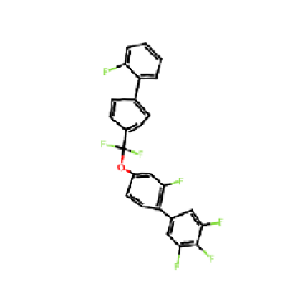 Fc1ccccc1-c1ccc(C(F)(F)Oc2ccc(-c3cc(F)c(F)c(F)c3)c(F)c2)cc1